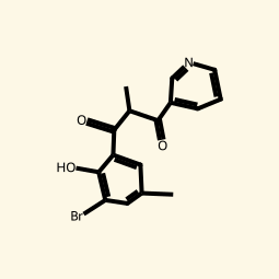 Cc1cc(Br)c(O)c(C(=O)C(C)C(=O)c2cccnc2)c1